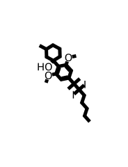 CCCCCC(I)(I)C(C)(C)c1cc(OC)c(C2(O)CCCC(C)C2)c(OC)c1